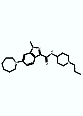 CCCN1CCC(NC(=O)c2nn(C)c3cc(N4CCCCCC4)ccc23)CC1